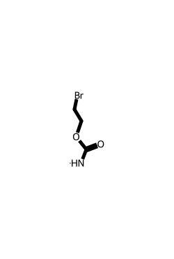 [NH]C(=O)OCCBr